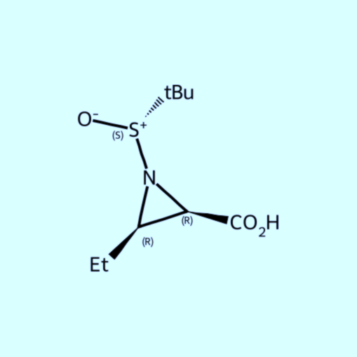 CC[C@@H]1[C@H](C(=O)O)N1[S@+]([O-])C(C)(C)C